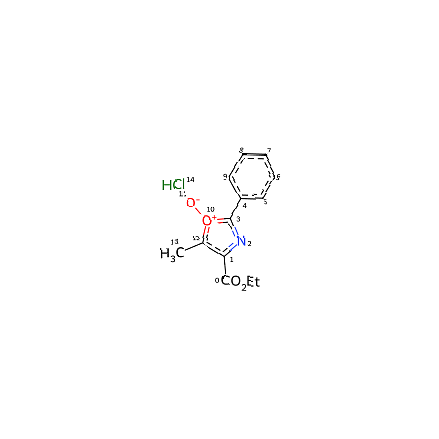 CCOC(=O)c1nc(-c2ccccc2)[o+]([O-])c1C.Cl